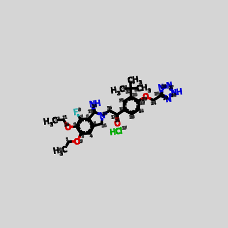 CCOc1cc2c(c(F)c1OCC)C(=N)N(CC(=O)c1ccc(OCc3nn[nH]n3)c(C(C)(C)C)c1)C2.Cl